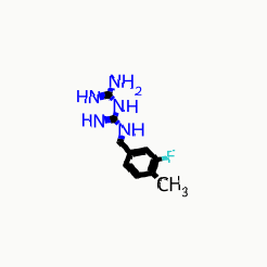 Cc1ccc(CNC(=N)NC(=N)N)cc1F